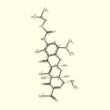 CN[C@@H]1C=C(C(N)=O)C(=O)[C@@]2(O)C(O)=C3C(=O)c4c(O)c(NC(=O)OCC(C)C)cc(N(C)C)c4C[C@H]3C[C@@H]12